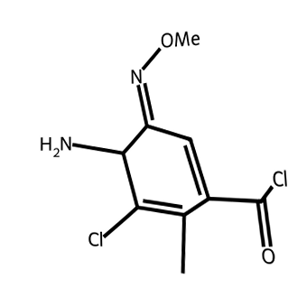 CON=C1C=C(C(=O)Cl)C(C)=C(Cl)C1N